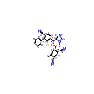 Cc1cc(COC(c2ccc(C#N)c(-c3ccccc3)c2C)c2cncn2C)c(C#N)cc1C#N